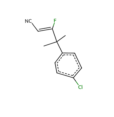 CC(C)(/C(F)=C/C#N)c1ccc(Cl)cc1